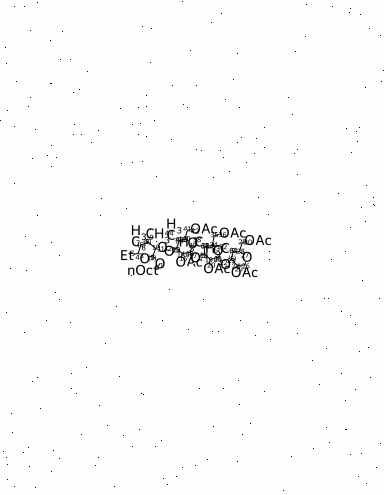 CCCCCCCCO[C@H]1OC(CC)[C@@H](C)[C@H](C)C1OO[C@@H]1C(OC(C)=O)[C@@H](O[C@@H]2C(OC(C)=O)[C@@H](O[C@@H]3C(OC(C)=O)COC(COC(C)=O)[C@H]3C)OC(COC(C)=O)[C@H]2C)OC(COC(C)=O)[C@H]1C